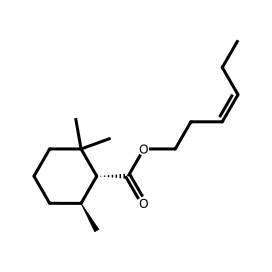 CC/C=C\CCOC(=O)[C@@H]1[C@@H](C)CCCC1(C)C